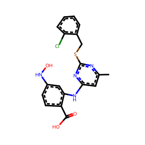 Cc1cc(Nc2cc(NO)ccc2C(=O)O)nc(SCc2ccccc2Cl)n1